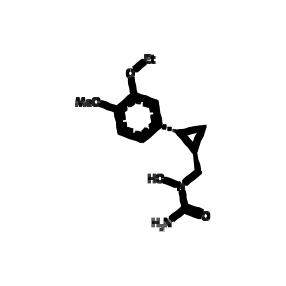 CCOc1cc([C@@H]2C[C@H]2CN(O)C(N)=O)ccc1OC